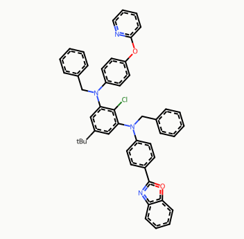 CC(C)(C)c1cc(N(Cc2ccccc2)c2ccc(Oc3ccccn3)cc2)c(Cl)c(N(Cc2ccccc2)c2ccc(-c3nc4ccccc4o3)cc2)c1